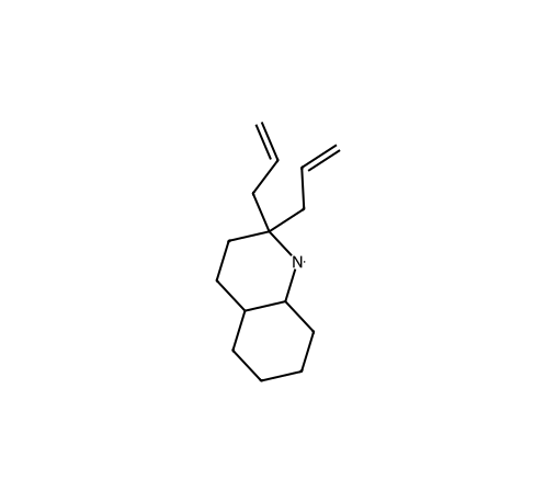 C=CCC1(CC=C)CCC2CCCCC2[N]1